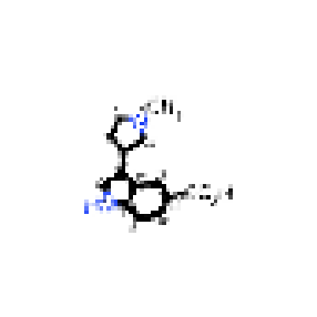 CN1CCC(c2c[nH]c3ccc(C(=O)O)cc23)C1